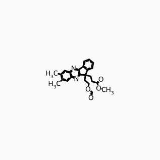 COC(=O)CCC1(CCOC=O)c2ccccc2-c2nc3cc(C)c(C)cc3nc21